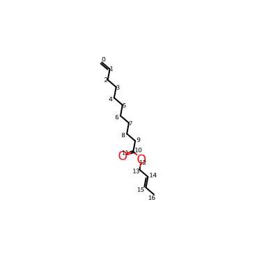 C=CCCCCCCCCC(=O)OCC=CC